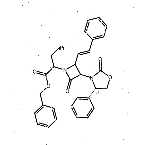 CC(C)CC(C(=O)OCc1ccccc1)N1C(=O)C(N2C(=O)OC[C@@H]2c2ccccc2)C1C=Cc1ccccc1